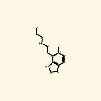 CCCNCCC1C2=C(C=CC1C)CCN2